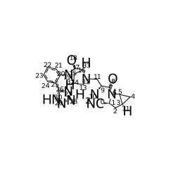 N#C[C@@H]1C[C@@H]2CC2N1C(=O)[C@@H](N)CN1C[C@@H]2C[C@H]1C(=O)N2c1ccccc1-c1nnn[nH]1